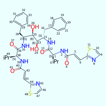 CC(C)[C@H](NC(=O)C=Cc1nccs1)C(=O)N[C@@H](Cc1ccccc1)[C@@H](O)[C@H](O)[C@H](Cc1ccccc1)NC(=O)[C@@H](NC(=O)C=Cc1nccs1)C(C)C